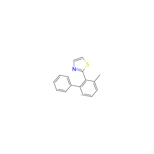 Cc1cc[c]c(-c2ccccc2)c1-c1nccs1